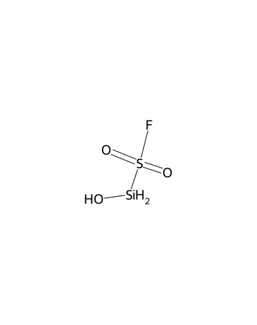 O=S(=O)(F)[SiH2]O